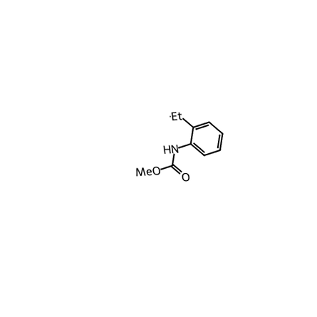 C[CH]c1ccccc1NC(=O)OC